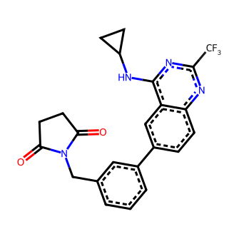 O=C1CCC(=O)N1Cc1cccc(-c2ccc3nc(C(F)(F)F)nc(NC4CC4)c3c2)c1